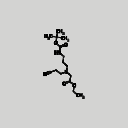 CCOC(=O)CN(CCC#N)CCCNC(=O)OC(C)(C)C